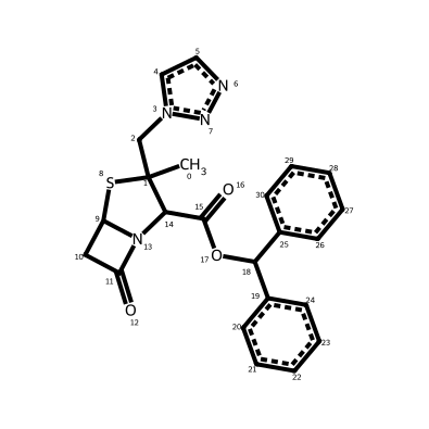 CC1(Cn2ccnn2)SC2CC(=O)N2C1C(=O)OC(c1ccccc1)c1ccccc1